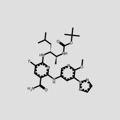 COc1ncc(Nc2nc(N[C@H](CC(C)C)[C@H](C)NC(=O)OC(C)(C)C)c(F)cc2C(N)=O)cc1-n1nccn1